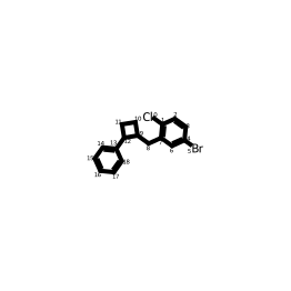 Clc1ccc(Br)cc1CC1CCC1c1ccccc1